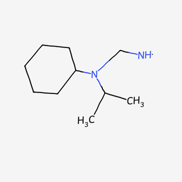 CC(C)N(C[NH])C1CCCCC1